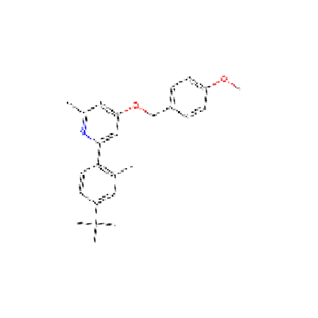 COc1ccc(COc2[c]c(C)nc(-c3ccc(C(C)(C)C)cc3C)c2)cc1